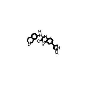 CN1CCc2ccc(Nc3nc4ccc(-c5cn[nH]c5)cc4n(C)c3=O)cc2C1